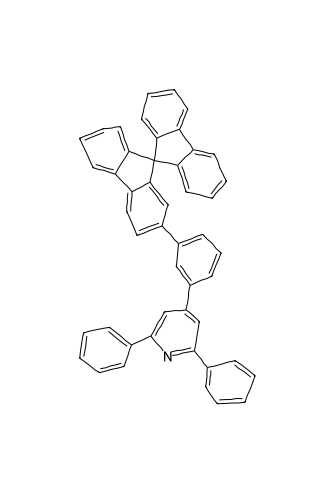 c1ccc(-c2cc(-c3cccc(-c4ccc5c(c4)C4(c6ccccc6-c6ccccc64)c4ccccc4-5)c3)cc(-c3ccccc3)n2)cc1